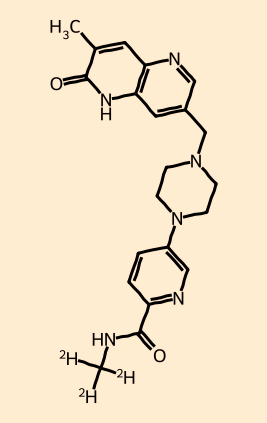 [2H]C([2H])([2H])NC(=O)c1ccc(N2CCN(Cc3cnc4cc(C)c(=O)[nH]c4c3)CC2)cn1